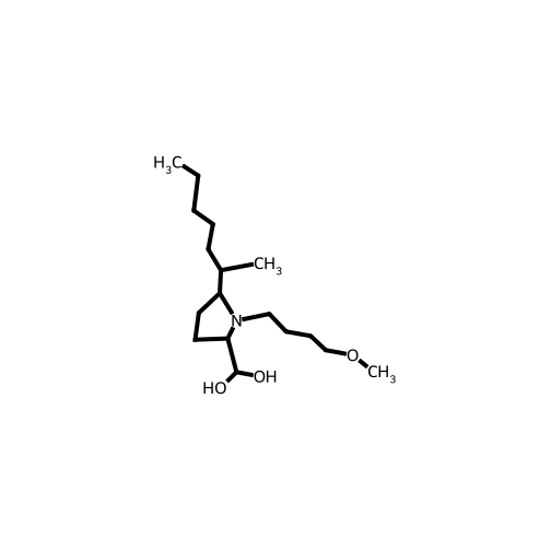 CCCCCC(C)C1CCC(C(O)O)N1CCCCOC